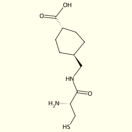 N[C@@H](CS)C(=O)NC[C@H]1CC[C@H](C(=O)O)CC1